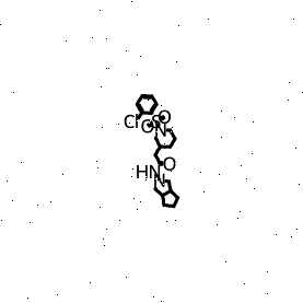 O=C(CC1CCCN(S(=O)(=O)c2ccccc2Cl)C1)NN1CC2CCCC2C1